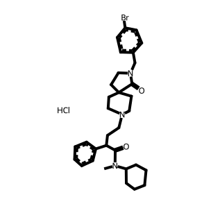 CN(C(=O)C(CCN1CCC2(CC1)CCN(Cc1ccc(Br)cc1)C2=O)c1ccccc1)C1CCCCC1.Cl